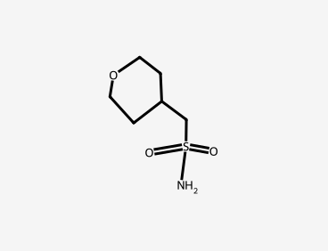 NS(=O)(=O)CC1CCOCC1